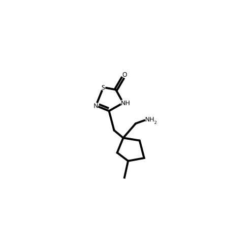 CC1CCC(CN)(Cc2nsc(=O)[nH]2)C1